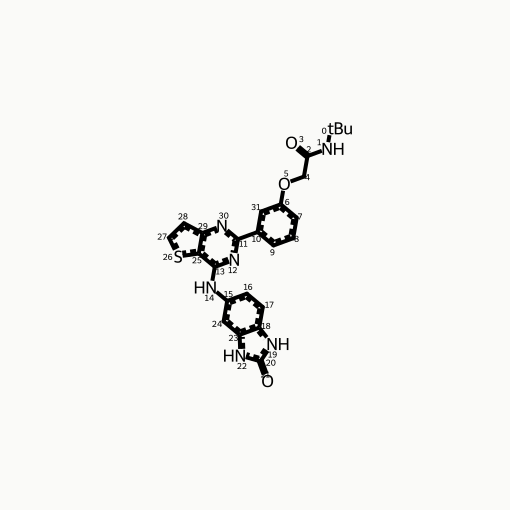 CC(C)(C)NC(=O)COc1cccc(-c2nc(Nc3ccc4[nH]c(=O)[nH]c4c3)c3sccc3n2)c1